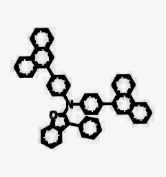 c1ccc(-c2c(N(c3ccc(-c4cc5ccccc5c5ccccc45)cc3)c3ccc(-c4cc5ccccc5c5ccccc45)cc3)oc3ccccc23)cc1